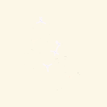 CC1=CN(c2cccc3c2C2=C(C=N[N+]2(C)C=O)C2(CCNCC2)O3)CC=C1OC(C)C